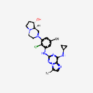 N#Cc1cc(Nc2nc(NC3CC3)c3ncc(C#N)n3n2)c(Cl)c(N2CCN3CC[C@H](O)[C@H]3C2)c1